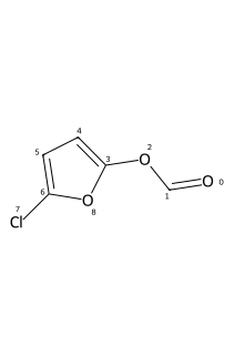 O=COc1ccc(Cl)o1